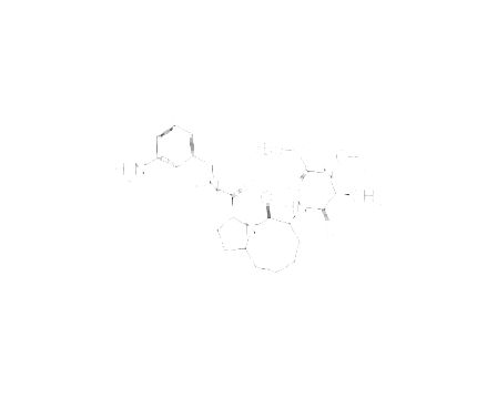 C[C@@H](C(=O)N[C@H]1CCCCC2CC[C@@H](C(=O)NCc3cccc(N)c3)N2C1=O)N(C)C(=O)OC(C)(C)C